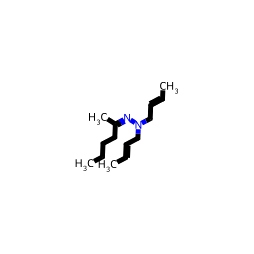 CC=CCN(CC=CC)N=C(C)CCCC